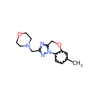 Cc1ccc2c(c1)OCc1nc(CN3CCOCC3)nn1-2